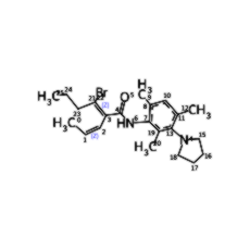 C/C=C\C(C(=O)Nc1c(C)cc(C)c(N2CCCC2)c1C)=C(\Br)CCC